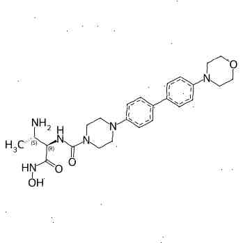 C[C@H](N)[C@@H](NC(=O)N1CCN(c2ccc(-c3ccc(N4CCOCC4)cc3)cc2)CC1)C(=O)NO